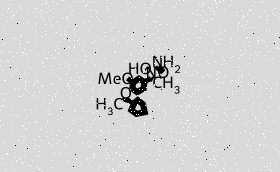 COc1cc(C(C)N(O)C(N)=O)ccc1OC(C)c1ccccc1